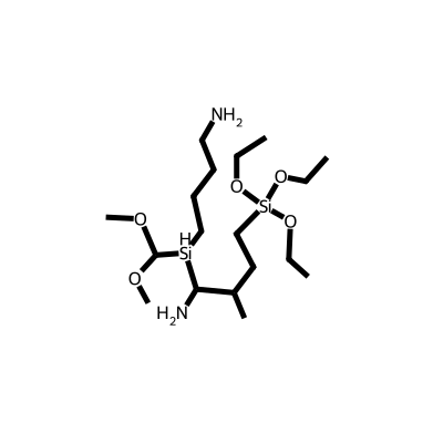 CCO[Si](CCC(C)C(N)[SiH](CCCCN)C(OC)OC)(OCC)OCC